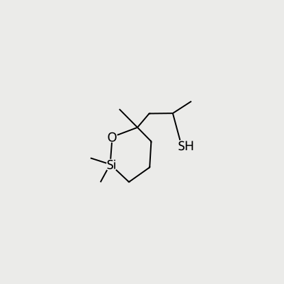 CC(S)CC1(C)CCC[Si](C)(C)O1